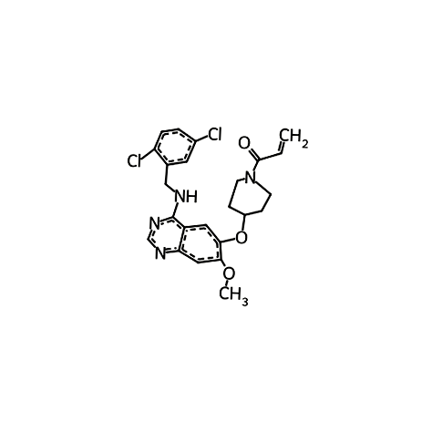 C=CC(=O)N1CCC(Oc2cc3c(NCc4cc(Cl)ccc4Cl)ncnc3cc2OC)CC1